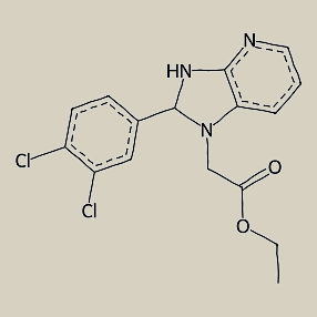 CCOC(=O)CN1c2cccnc2NC1c1ccc(Cl)c(Cl)c1